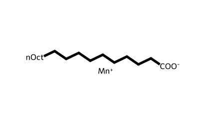 CCCCCCCCCCCCCCCCCC(=O)[O-].[Mn+]